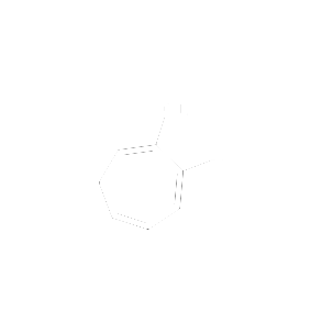 CC1=CCC=CC=C1O